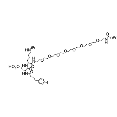 CCCC(=O)NCCOCCOCCOCCOCCOCCOCCOCCOCCNC(=O)[C@H](CCCCNC(C)C)NC(=O)[C@H](CCC(=O)O)NC(=O)CCCc1ccc(I)cc1